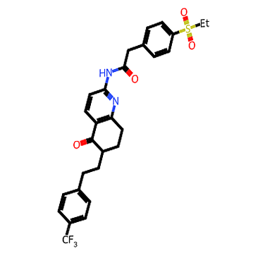 CCS(=O)(=O)c1ccc(CC(=O)Nc2ccc3c(n2)CCC(CCc2ccc(C(F)(F)F)cc2)C3=O)cc1